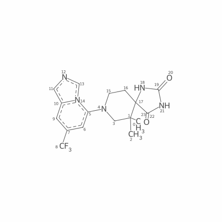 CC1(C)CN(c2cc(C(F)(F)F)cc3cncn23)CCC12NC(=O)NC2=O